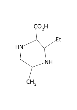 CCC1NC(C)CNC1C(=O)O